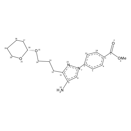 COC(=O)c1ccc(-n2cc(N)c(CCCO[C@H]3CCCCO3)n2)cc1